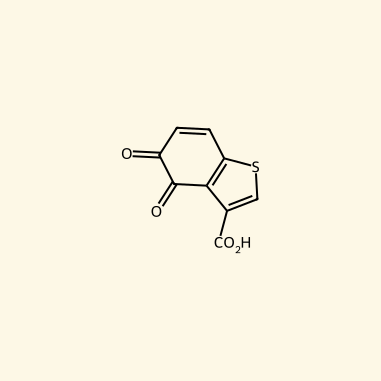 O=C1C=Cc2scc(C(=O)O)c2C1=O